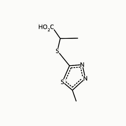 Cc1nnc(SC(C)C(=O)O)s1